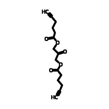 C#CCCCC(=O)OCC(=O)COC(=O)CCCC#C